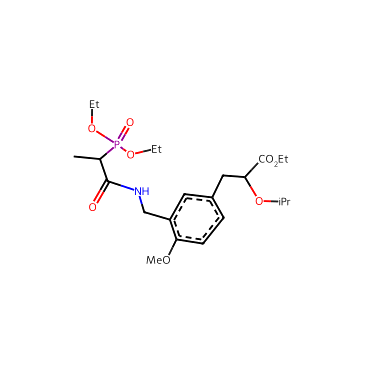 CCOC(=O)C(Cc1ccc(OC)c(CNC(=O)C(C)P(=O)(OCC)OCC)c1)OC(C)C